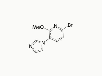 COc1nc(Br)ccc1-n1ccnc1